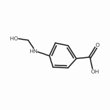 O=C(O)c1ccc(NCO)cc1